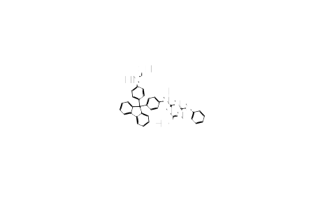 CCNc1ccc(C2(c3ccc(Nc4nc(C)nc(Nc5ccccc5)n4)cc3)c3ccccc3-c3ccccc32)cc1